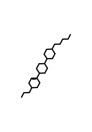 CCCCCC1CCC(C2CCC(C3=CCC(CCC)CC3)CC2)CC1